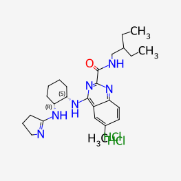 CCC(CC)CNC(=O)c1nc(N[C@H]2CCCC[C@H]2NC2=NCCC2)c2cc(C)ccc2n1.Cl.Cl